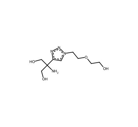 NC(CO)(CO)c1cn(CCOCCO)nn1